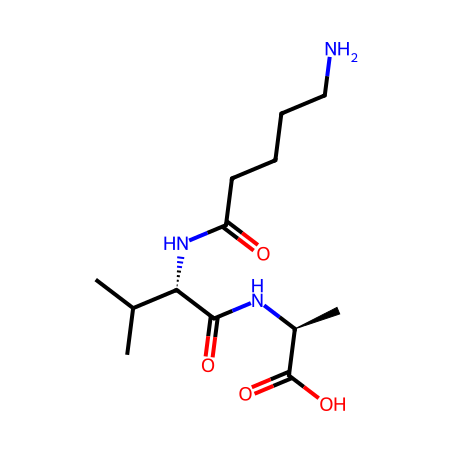 CC(C)[C@H](NC(=O)CCCCN)C(=O)N[C@@H](C)C(=O)O